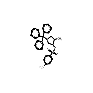 Cc1ccc(S(=O)(=O)OC2CN(C(c3ccccc3)(c3ccccc3)c3ccccc3)CC2C)cc1